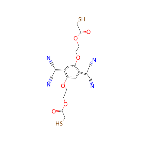 N#CC(C#N)=c1cc(OCCOC(=O)CS)c(=C(C#N)C#N)cc1OCCOC(=O)CS